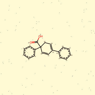 O=C(O)C1(c2ccccc2)C=CC(c2ccccc2)=CC1